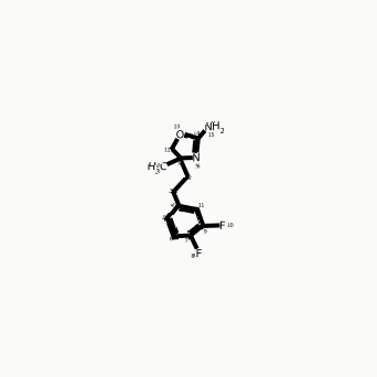 CC1(CCc2ccc(F)c(F)c2)COC(N)=N1